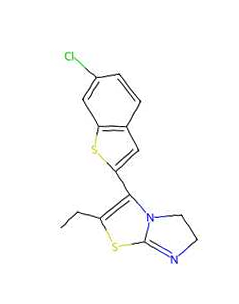 CCC1=C(c2cc3ccc(Cl)cc3s2)N2CCN=C2S1